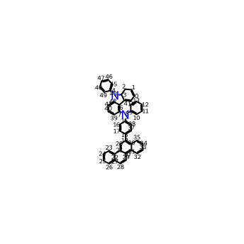 C1=CCC2C(=C1)c1c(N(c3ccccc3)c3ccc(-c4cc5c6ccccc6ccc5c5ccccc45)cc3)cccc1N2c1ccccc1